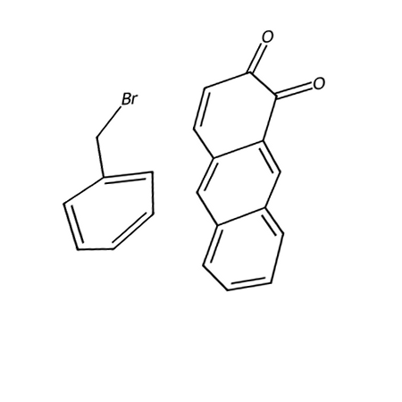 BrCc1ccccc1.O=C1C=Cc2cc3ccccc3cc2C1=O